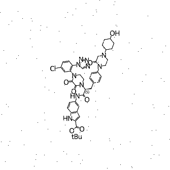 CC(C)(C)OC(=O)c1cc2cc(NC(=O)[C@H](Cc3ccc(N4CCN(C5CCC(O)CC5)CC4=O)cc3)N3CCN(c4cc(Cl)ccc4-n4cnnn4)C(=O)C3=O)ccc2[nH]1